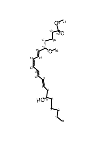 CCCCC[C@@H](O)C/C=C/C=C/C=C\C=C\[C@H](CCCC(=O)OC)OC